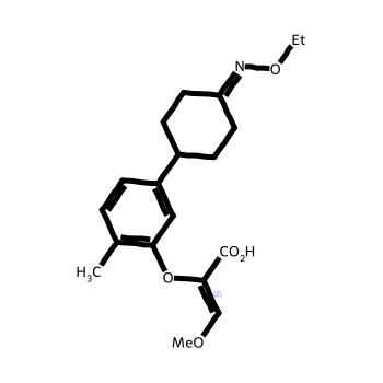 CCON=C1CCC(c2ccc(C)c(O/C(=C\OC)C(=O)O)c2)CC1